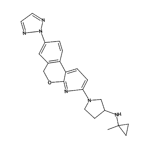 CC1(NC2CCN(c3ccc4c(n3)OCc3cc(-n5nccn5)ccc3-4)C2)CC1